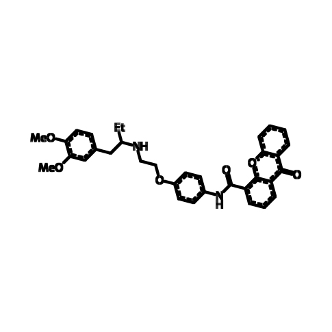 CCC(Cc1ccc(OC)c(OC)c1)NCCOc1ccc(NC(=O)c2cccc3c(=O)c4ccccc4oc23)cc1